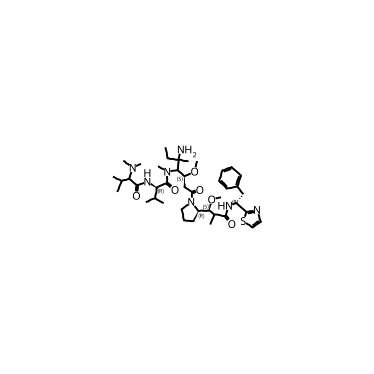 CCC(C)(N)C([C@H](CC(=O)N1CCC[C@@H]1[C@@H](OC)C(C)C(=O)N[C@H](Cc1ccccc1)c1nccs1)OC)N(C)C(=O)[C@H](NC(=O)C(C(C)C)N(C)C)C(C)C